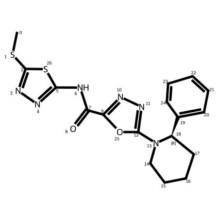 CSc1nnc(NC(=O)c2nnc(N3CCCC[C@@H]3c3ccccc3)o2)s1